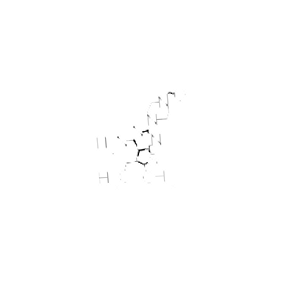 CCc1c(C)sc2nc(N3CCN(C=O)CC3)nc(N)c12